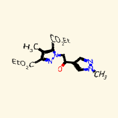 CCOC(=O)c1nn(CC(=O)c2cnn(C)c2)c(C(=O)OCC)c1C